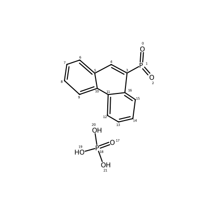 O=P(=O)c1cc2ccccc2c2ccccc12.O=P(O)(O)O